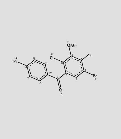 COc1c(C)c(Br)cc(C(=O)c2ccc(C(C)C)cc2)c1Cl